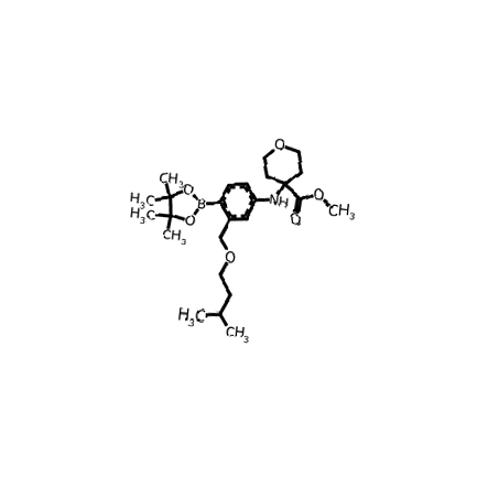 COC(=O)C1(Nc2ccc(B3OC(C)(C)C(C)(C)O3)c(COCCC(C)C)c2)CCOCC1